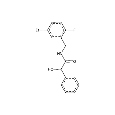 CCc1ccc(F)c(CNC(=O)C(O)c2ccccc2)c1